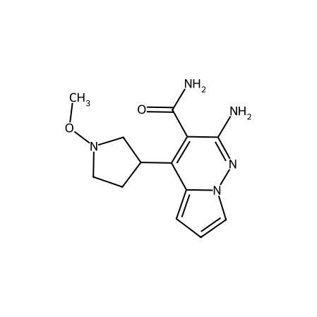 CON1CCC(c2c(C(N)=O)c(N)nn3cccc23)C1